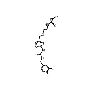 CCNC(=O)NCCOCc1csc(NC(=O)NCc2ccc(Cl)c(Cl)c2)n1